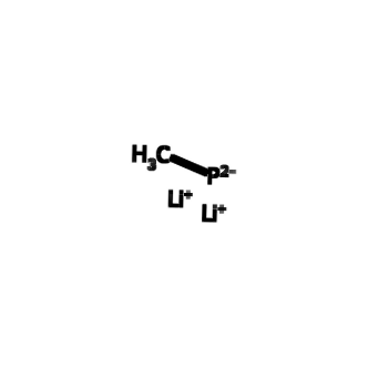 C[P-2].[Li+].[Li+]